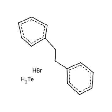 Br.[TeH2].c1ccc(CCc2ccccc2)cc1